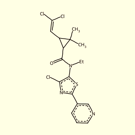 CCN(C(=O)C1C(C=C(Cl)Cl)C1(C)C)c1sc(-c2cccnc2)nc1Cl